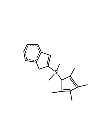 CC1=C(C)C([Si](C)(C)C2=Cc3ccccc3C2)C(C)=C1C